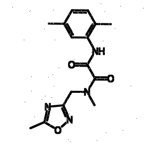 Cc1ccc(C)c(NC(=O)C(=O)N(C)Cc2noc(C)n2)c1